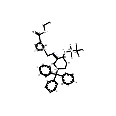 CCOC(=O)c1cnn(C/C=C2\CN(C(c3ccccc3)(c3ccccc3)c3ccccc3)CCC2O[Si](C)(C)C(C)(C)C)c1